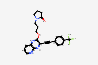 O=C1CCCN1CCCOc1nc2cccnc2nc1C#Cc1ccc(C(F)(F)F)cc1